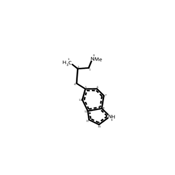 CNCC(C)Cc1ccc2[nH]ccc2c1